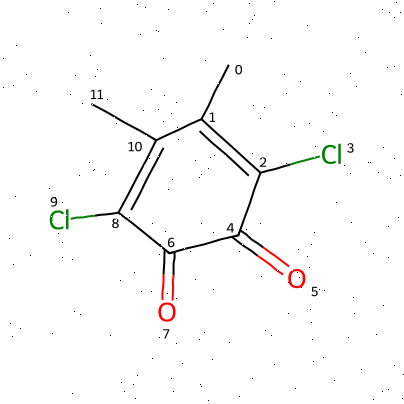 CC1=C(Cl)C(=O)C(=O)C(Cl)=C1C